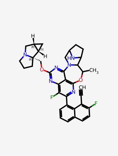 C#Cc1c(F)ccc2cccc(-c3nc4c5c(nc(OC[C@]67CCCN6C[C@@H]6C[C@@H]67)nc5c3F)N3CC5CCC(N5)C3C(C)O4)c12